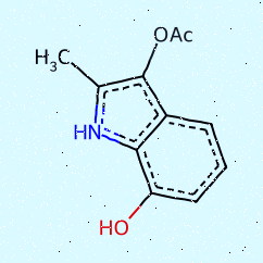 CC(=O)Oc1c(C)[nH]c2c(O)cccc12